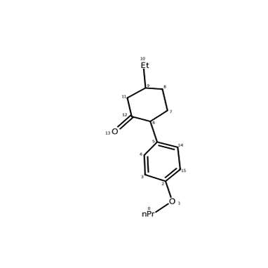 CCCOc1ccc(C2CCC(CC)CC2=O)cc1